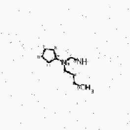 CCCCN(C[NH])C1CCCC1